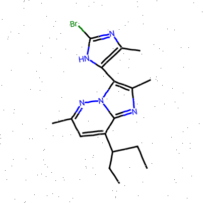 CCC(CC)c1cc(C)nn2c(-c3[nH]c(Br)nc3C)c(C)nc12